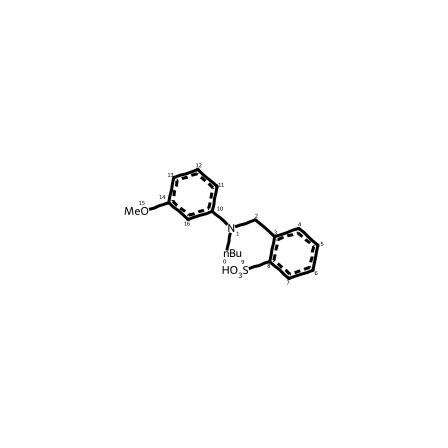 CCCCN(Cc1ccccc1S(=O)(=O)O)c1cccc(OC)c1